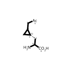 CC(=O)CC1C[C@H]1CC(N)C(=O)O